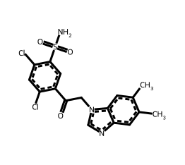 Cc1cc2ncn(CC(=O)c3cc(S(N)(=O)=O)c(Cl)cc3Cl)c2cc1C